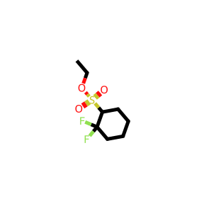 CCOS(=O)(=O)C1CCCCC1(F)F